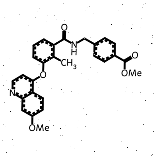 COC(=O)c1ccc(CNC(=O)c2cccc(Oc3ccnc4cc(OC)ccc34)c2C)cc1